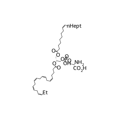 CC/C=C\C/C=C\C/C=C\C/C=C\C/C=C\CCCC(=O)O[C@H](COC(=O)CCCCCCC/C=C\CCCCCCC)COP(=O)(O)OC[C@H](N)C(=O)O